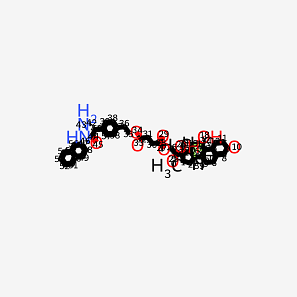 C[C@@H]1C[C@H]2[C@@H]3CCC4=CC(=O)C=C[C@]4(C)[C@@]3(F)[C@@H](O)C[C@]2(C)[C@@]1(O)C(=O)COC(=O)CCC(=O)OCCc1ccc([C@@H](CN)C(=O)Nc2ccc3ccccc3c2)cc1